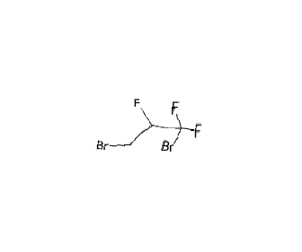 FC(CBr)C(F)(F)Br